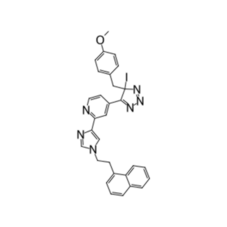 COc1ccc(CC2(I)N=NN=C2c2ccnc(-c3cn(CCc4cccc5ccccc45)cn3)c2)cc1